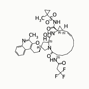 Cc1nc2ccccc2c2c1O[C@]1(CC2)C[C@H]2C(=O)N[C@]3(C(=O)NS(=O)(=O)C4(C)CC4)C[C@H]3C=CCCCCC[C@H](NC(=O)CC(F)(F)F)C(=O)N2C1